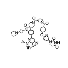 CC(C)n1cnc2cc(-c3ccc4c(c3)N(C3CC(N5CCCCC5)C3)C(=O)C43CCN(C(=O)[C@@H]4CCN(C(=O)C5CCC(Oc6ccc(N7CCC(=O)NC7=O)cn6)CC5)C4)CC3)nc(NC3CC3)c21